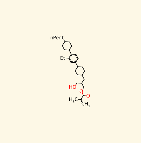 C=C(C)C(=O)OCC(CO)CC1CCC(c2ccc(C3CCC(CCCCC)CC3)c(CC)c2)CC1